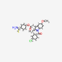 COc1ccc2c(c1)c(CC(=O)Oc1ccc(C(N)=S)cc1)c(C)n2C(=O)c1ccc(Cl)cc1